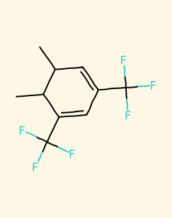 CC1C=C(C(F)(F)F)C=C(C(F)(F)F)C1C